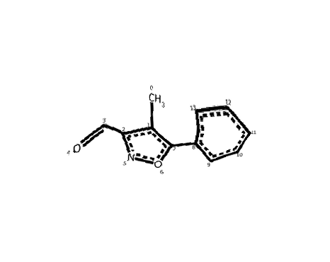 Cc1c([C]=O)noc1-c1ccccc1